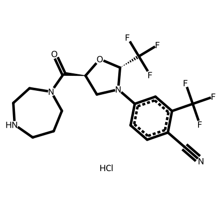 Cl.N#Cc1ccc(N2C[C@@H](C(=O)N3CCCNCC3)O[C@@H]2C(F)(F)F)cc1C(F)(F)F